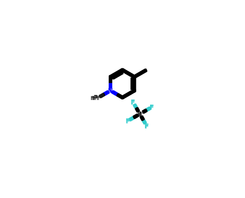 CCCN1C=CC(C)=CC1.F[B-](F)(F)F